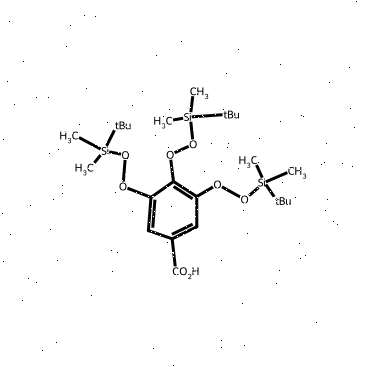 CC(C)(C)[Si](C)(C)OOc1cc(C(=O)O)cc(OO[Si](C)(C)C(C)(C)C)c1OO[Si](C)(C)C(C)(C)C